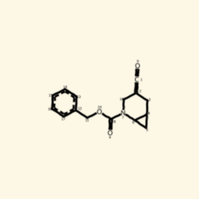 O=C=C1CC2CC2N(C(=O)OCc2ccccc2)C1